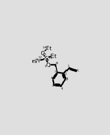 C=Cc1ccccc1CO[Si](CC)(CCC)OCC